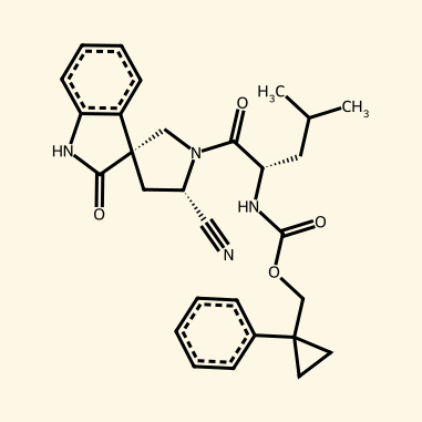 CC(C)C[C@H](NC(=O)OCC1(c2ccccc2)CC1)C(=O)N1C[C@]2(C[C@H]1C#N)C(=O)Nc1ccccc12